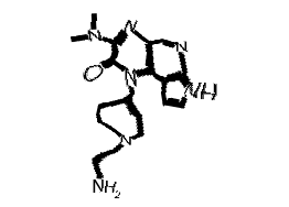 CN(C)c1nc2cnc3[nH]ccc3c2n(C2CCN(CCN)CC2)c1=O